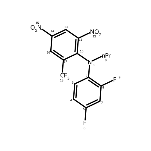 CCCN(c1ccc(F)cc1F)c1c([N+](=O)[O-])cc([N+](=O)[O-])cc1C(F)(F)F